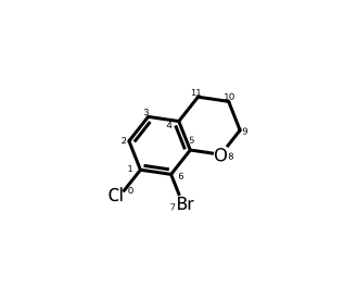 Clc1ccc2c(c1Br)OCCC2